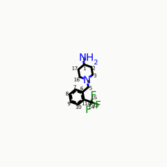 NC1CCN(Cc2ccccc2C(F)(F)F)CC1